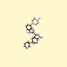 CN1CCN(c2cccc3[nH]c(-c4n[nH]c5ncc(-c6cccnc6)cc45)nc23)CC1